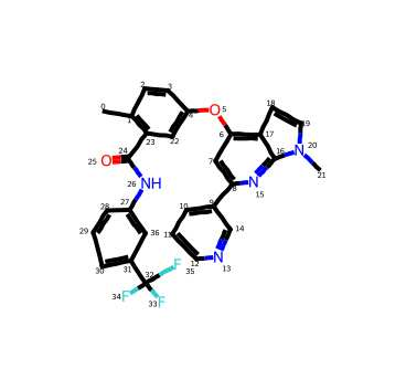 Cc1ccc(Oc2cc(-c3cccnc3)nc3c2ccn3C)cc1C(=O)Nc1cccc(C(F)(F)F)c1